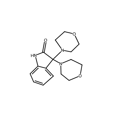 O=C1Nc2ccccc2C1(N1CCOCC1)N1CCOCC1